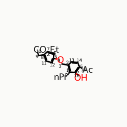 CCCc1c(COc2ccc(CC(=O)OCC)cc2)ccc(C(C)=O)c1O